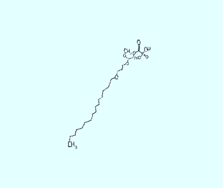 CCCCCCCCCCCCCCCCOCCCOC(COC(=O)P(=O)(O)O)OC